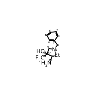 CCN(Cc1ccccc1)CC(O)(CN)C(F)(F)F